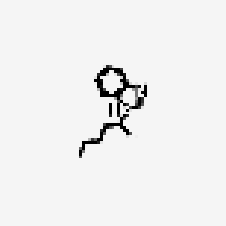 [CH2]C(CCCC)[SH]1C=Nc2ccccc21